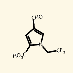 O=Cc1cc(C(=O)O)n(CC(F)(F)F)c1